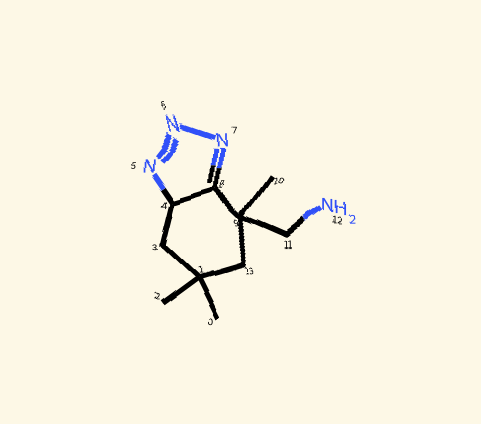 CC1(C)CC2N=NN=C2C(C)(CN)C1